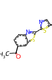 CC(=O)c1ccc2nc(-c3nccs3)sc2c1